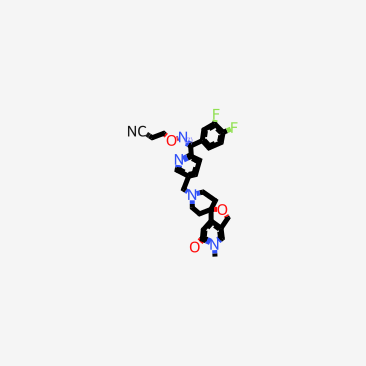 Cn1cc2c(cc1=O)C1(CCN(Cc3ccc(/C(=N\OCCC#N)c4ccc(F)c(F)c4)nc3)CC1)OC2